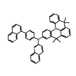 CC1(C)c2ccccc2N2c3ccc(N(c4ccc(-c5cccc6ccccc56)cc4)c4ccc5ccccc5c4)cc3C(C)(C)c3cccc1c32